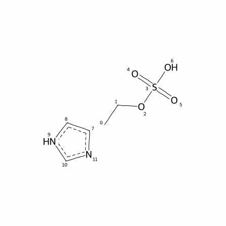 CCOS(=O)(=O)O.c1c[nH]cn1